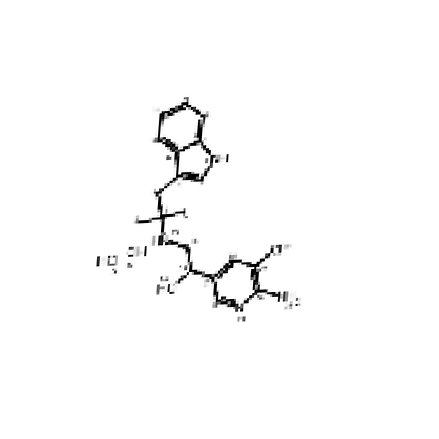 CC(C)(Cc1c[nH]c2ccccc12)NC[C@H](O)c1cnc(N)c(Cl)c1.Cl.Cl